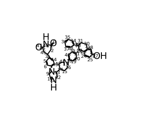 O=C1CC(c2ccc(N3CCNCC3C3CCN(c4ccc([C@H]5c6ccc(O)cc6CC[C@H]5c5ccccc5)cc4)CC3)cc2)CC(=O)N1